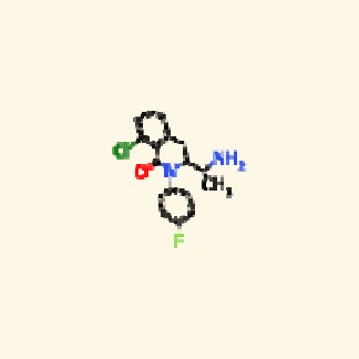 C[C@H](N)C1Cc2cccc(Cl)c2C(=O)N1c1ccc(F)cc1